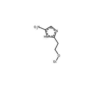 CCOCCc1ncc([N+](=O)[O-])[nH]1